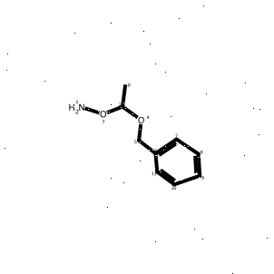 CC(ON)OCc1ccccc1